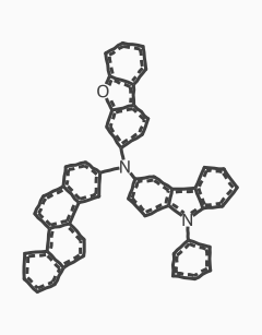 c1ccc(-n2c3ccccc3c3cc(N(c4ccc5c(c4)oc4ccccc45)c4ccc5ccc6c7ccccc7ccc6c5c4)ccc32)cc1